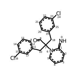 N=c1ccccn1C(C=O)(Cc1cccc(Cl)c1)Cc1cccc(Cl)c1